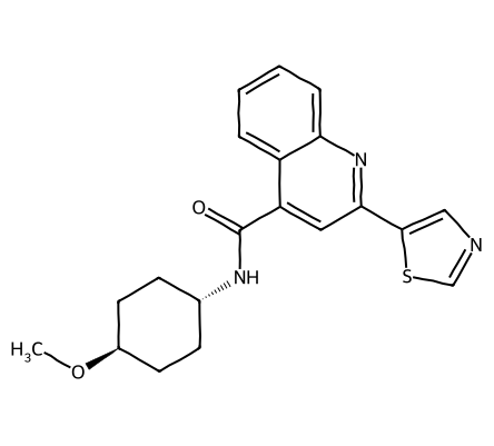 CO[C@H]1CC[C@H](NC(=O)c2cc(-c3cncs3)nc3ccccc23)CC1